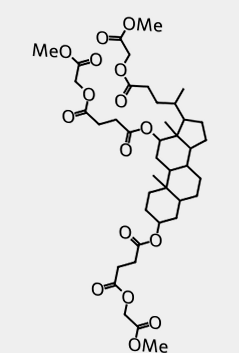 COC(=O)COC(=O)CCC(=O)OC1CCC2(C)C(CCC3C2CC(OC(=O)CCC(=O)OCC(=O)OC)C2(C)C(C(C)CCC(=O)OCC(=O)OC)CCC32)C1